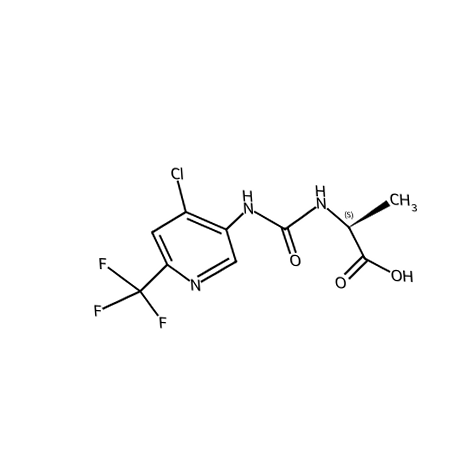 C[C@H](NC(=O)Nc1cnc(C(F)(F)F)cc1Cl)C(=O)O